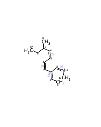 C/C=C(/C=C\C=C/C(C)CC)\C=N/C